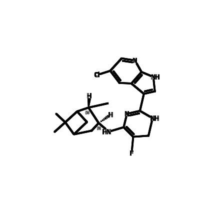 C[C@H]1C2CC(C[C@@H]1NC1=C(F)CNC(c3c[nH]c4ncc(Cl)cc34)=N1)C2(C)C